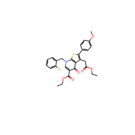 CCOC(=O)Cc1c(-c2ccc(OC)cc2)sc2c1c(=O)c(C(=O)OCC)cn2Cc1ccccc1F